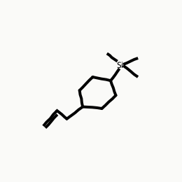 C=CCC1CCC([Si](C)(C)C)CC1